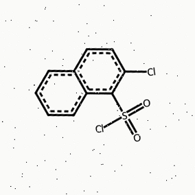 O=S(=O)(Cl)c1c(Cl)ccc2ccccc12